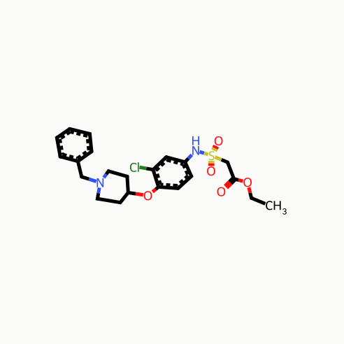 CCOC(=O)CS(=O)(=O)Nc1ccc(OC2CCN(Cc3ccccc3)CC2)c(Cl)c1